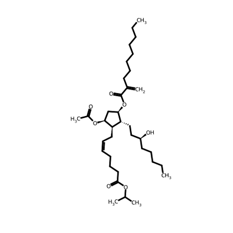 C=C(CCCCCCCC)C(=O)O[C@@H]1C[C@H](OC(C)=O)[C@H](C/C=C\CCCC(=O)OC(C)C)[C@H]1CC[C@@H](O)CCCCC